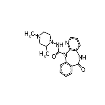 CC1CN(C)CCN1NC(=O)N1c2ccccc2C(=O)Nc2cccnc21